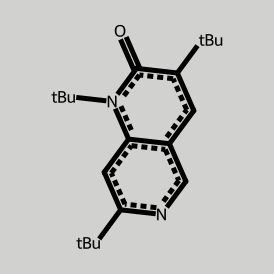 CC(C)(C)c1cc2c(cn1)cc(C(C)(C)C)c(=O)n2C(C)(C)C